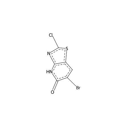 O=c1[nH]c2nc(Cl)sc2cc1Br